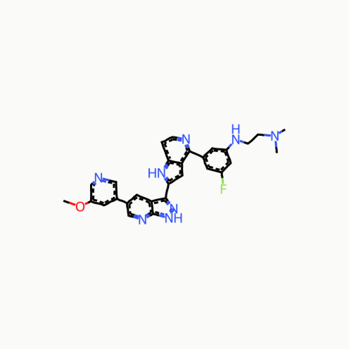 COc1cncc(-c2cnc3[nH]nc(-c4cc5c(-c6cc(F)cc(NCCN(C)C)c6)nccc5[nH]4)c3c2)c1